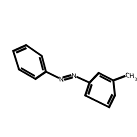 Cc1cccc(/N=N/c2ccccc2)c1